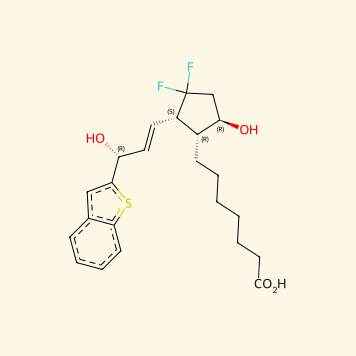 O=C(O)CCCCCC[C@H]1[C@H](O)CC(F)(F)[C@H]1C=C[C@@H](O)c1cc2ccccc2s1